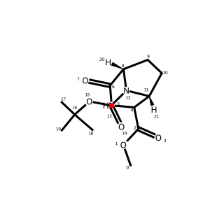 COC(=O)C1NC(=O)[C@@H]2CC[C@H]1N2C(=O)OC(C)(C)C